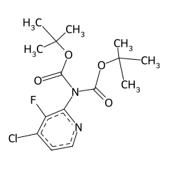 CC(C)(C)OC(=O)N(C(=O)OC(C)(C)C)c1nccc(Cl)c1F